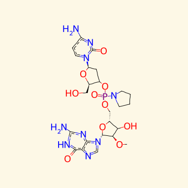 CO[C@@H]1C(O)[C@@H](COP(=O)(OC2C[C@H](n3ccc(N)nc3=O)O[C@@H]2CO)N2CCCC2)O[C@H]1n1cnc2c(=O)[nH]c(N)nc21